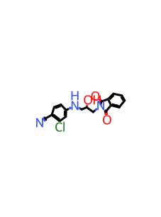 N#Cc1ccc(NCC(O)CN2C(=O)c3ccccc3C2=O)cc1Cl